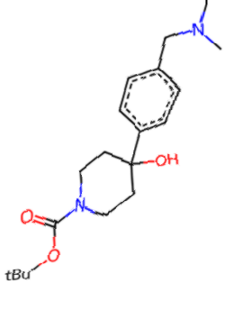 CN(C)Cc1ccc(C2(O)CCN(C(=O)OC(C)(C)C)CC2)cc1